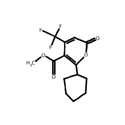 COC(=O)c1c(C(F)(F)F)cc(=O)oc1C1CCCCC1